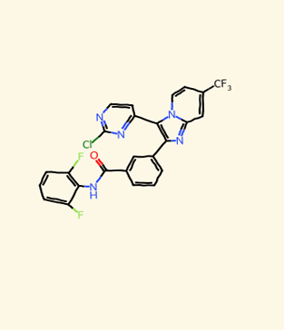 O=C(Nc1c(F)cccc1F)c1cccc(-c2nc3cc(C(F)(F)F)ccn3c2-c2ccnc(Cl)n2)c1